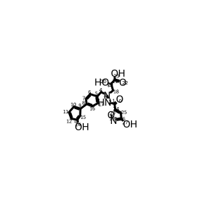 O=C(NN(Cc1ccc(-c2cccc(O)c2)cc1)C[C@H](O)C(=O)O)c1cc(O)no1